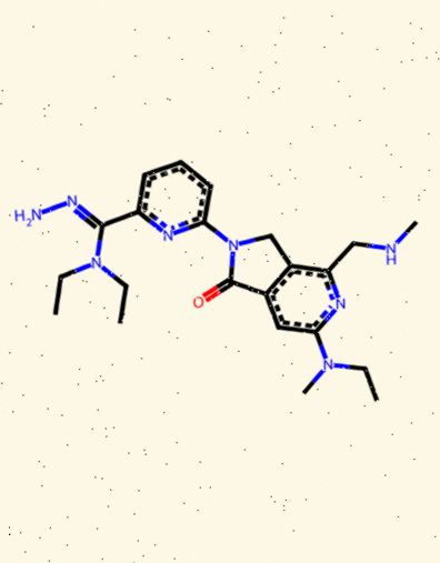 CCN(CC)/C(=N\N)c1cccc(N2Cc3c(cc(N(C)CC)nc3CNC)C2=O)n1